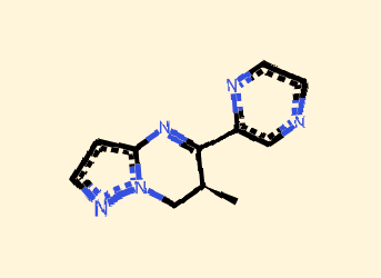 C[C@H]1Cn2nccc2N=C1c1cnccn1